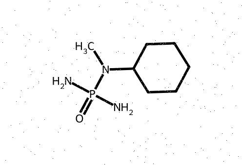 CN(C1CCCCC1)P(N)(N)=O